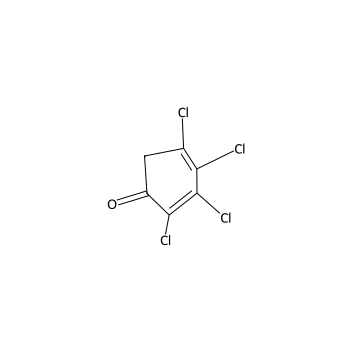 O=C1CC(Cl)=C(Cl)C(Cl)=C1Cl